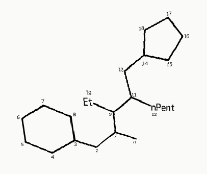 [CH2]C(CC1CCCCC1)C(CC)C(CCCCC)CC1CCCC1